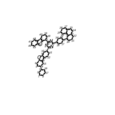 c1ccc(-c2ccc3oc4cc(-c5nc(-c6ccc(-c7cccc8ccc9ccccc9c78)cc6)nc(-c6cccc7c6oc6ccccc67)n5)ccc4c3c2)cc1